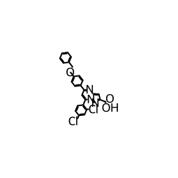 O=C(O)c1cc2nc(-c3ccc(OCc4ccccc4)cc3)cc(-c3ccc(Cl)cc3Cl)n2n1